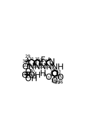 COc1cc(Nc2ncc(F)c(Nc3ccc4c(n3)N(COP(=O)(O)O)C(=O)C(C)(C)C4)n2)cc(OC)c1OC